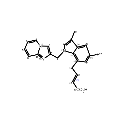 Cc1cn(Cc2cn3ccccc3n2)c2c(C/C=C/C(=O)O)cc(F)cc12